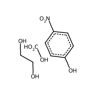 O=C(O)O.O=[N+]([O-])c1ccc(O)cc1.OCCO